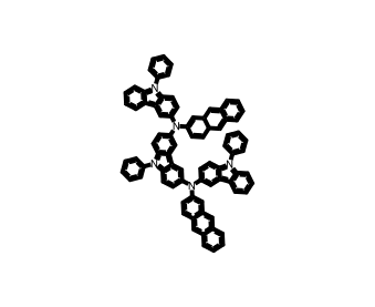 C1=CC2C=c3ccccc3=CC2C=C1N(c1ccc2c(c1)c1ccccc1n2-c1ccccc1)c1ccc2c(c1)c1cc(N(c3ccc4cc5ccccc5cc4c3)c3ccc4c(c3)c3ccccc3n4-c3ccccc3)ccc1n2-c1ccccc1